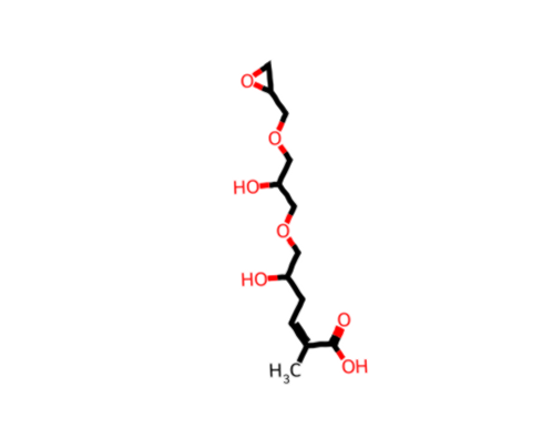 CC(=CCC(O)COCC(O)COCC1CO1)C(=O)O